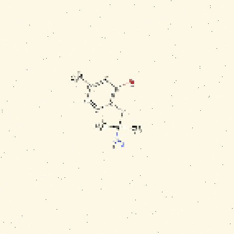 CC(C)(N)Cc1ccc([N+](=O)[O-])cc1Br